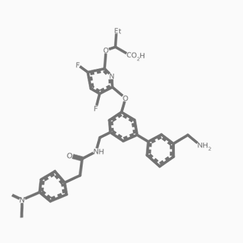 CCC(Oc1nc(Oc2cc(CNC(=O)Cc3ccc(N(C)C)cc3)cc(-c3cccc(CN)c3)c2)c(F)cc1F)C(=O)O